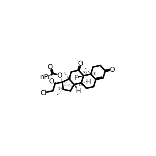 CCCC(=O)O[C@@]1(C(=O)CCl)[C@@H](C)C[C@H]2[C@@H]3CCC4=CC(=O)CC[C@]4(C)[C@@]3(F)C(=O)C[C@@]21C